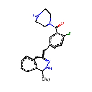 O=CC1NN=C(Cc2ccc(F)c(C(=O)N3CCNCC3)c2)c2ccccc21